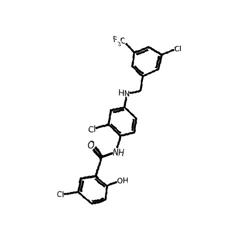 O=C(Nc1ccc(NCc2cc(Cl)cc(C(F)(F)F)c2)cc1Cl)c1cc(Cl)ccc1O